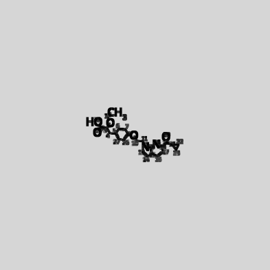 CCOC(Cc1ccc(OCCn2ccc3ccc(C(=O)C4CC4)nc32)cc1)C(=O)O